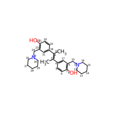 C/C(=C(/C)c1ccc(O)c(CN2CCCCC2)c1)c1ccc(O)c(CN2CCCCC2)c1